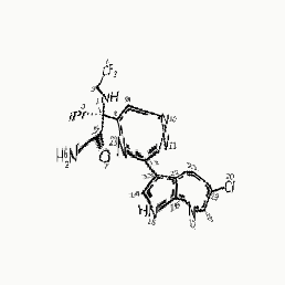 CC(C)[C@@](NCC(F)(F)F)(C(N)=O)c1cnnc(-c2c[nH]c3ncc(Cl)cc23)n1